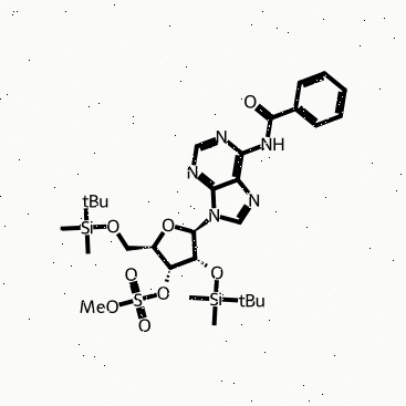 COS(=O)(=O)O[C@H]1[C@@H](O[Si](C)(C)C(C)(C)C)[C@H](n2cnc3c(NC(=O)c4ccccc4)ncnc32)O[C@@H]1CO[Si](C)(C)C(C)(C)C